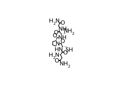 NC[C@H](NC(=O)[C@@H]1CCCN1C(=O)[C@H](CS)NC(=O)[C@@H](N)CC(N)=O)C(=O)NCC(N)=O